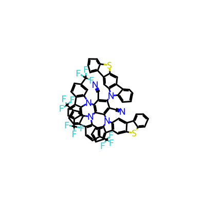 N#Cc1c(-n2c3ccccc3c3cc4sc5ccccc5c4cc32)c(C#N)c(-n2c3ccccc3c3cc4sc5ccccc5c4cc32)c(-n2c3cc(C(F)(F)F)ccc3c3ccc(C(F)(F)F)cc32)c1-n1c2cc(C(F)(F)F)ccc2c2ccc(C(F)(F)F)cc21